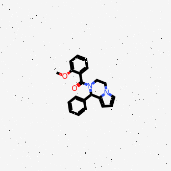 COc1ccccc1C(=O)N1CCn2cccc2C1c1ccccc1